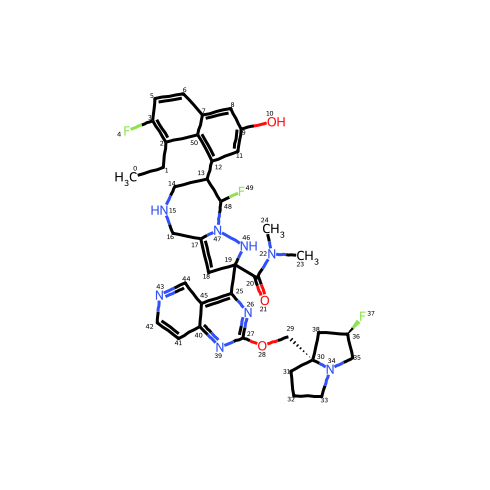 CCc1c(F)ccc2cc(O)cc(C3CNCC4=CC(C(=O)N(C)C)(c5nc(OC[C@@]67CCCN6C[C@H](F)C7)nc6ccncc56)NN4C3F)c12